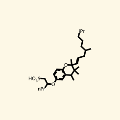 CCCC(CS(=O)(=O)O)Oc1ccc2c(c1)C(C)C(C)(C)C(C)(C=CCC(C)CCCC(C)C)O2